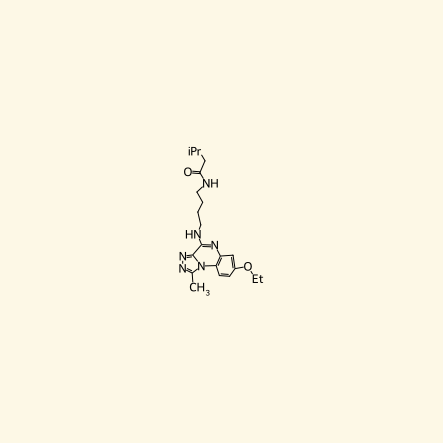 CCOc1ccc2c(c1)nc(NCCCCNC(=O)CC(C)C)c1nnc(C)n12